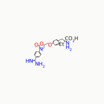 CCC(N)(Cc1ccc(OCC2CN(c3ccc(C(=N)N)cc3)C(=O)O2)cc1)C(=O)O